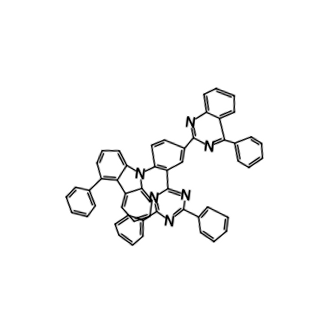 c1ccc(-c2nc(-c3ccccc3)nc(-c3cc(-c4nc(-c5ccccc5)c5ccccc5n4)ccc3-n3c4ccccc4c4c(-c5ccccc5)cccc43)n2)cc1